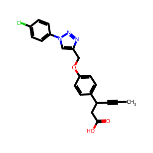 CC#CC(CC(=O)O)c1ccc(OCc2cn(-c3ccc(Cl)cc3)nn2)cc1